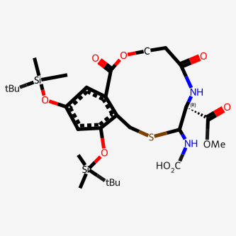 COC(=O)[C@H]1NC(=O)CCOC(=O)c2cc(O[Si](C)(C)C(C)(C)C)cc(O[Si](C)(C)C(C)(C)C)c2CSC1NC(=O)O